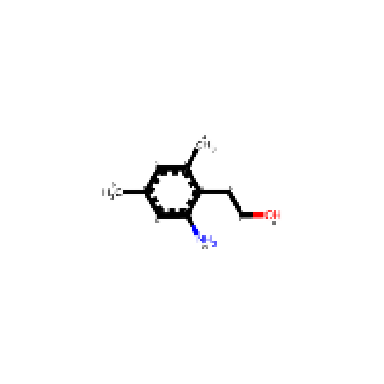 Cc1cc(C)c(CCO)c(N)c1